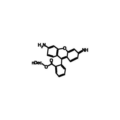 CCCCCCCCCCOC(=O)c1ccccc1-c1c2ccc(=N)cc-2oc2cc(N)ccc12